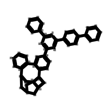 c1ccc(-c2ccc(-c3nc(-c4ccccc4)nc(-c4ccc5c(c4)-c4ccncc4C4CC6CC7CC5[C@@]7(C6)C4)n3)cc2)cc1